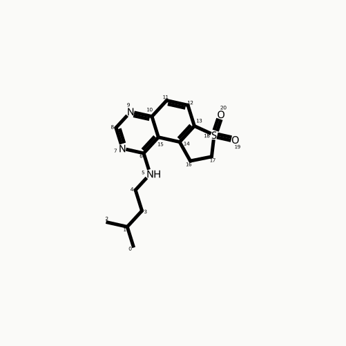 CC(C)CCNc1ncnc2ccc3c(c12)CCS3(=O)=O